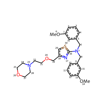 COc1cccc(CN(Cc2cccc(OC)c2)c2nc(COCCN3CCOCC3)cs2)c1